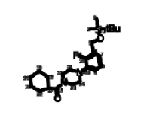 CC(C)(C)[Si](C)(C)OCc1cccc(N2CCN(C(=O)C3CCCCC3)CC2)c1F